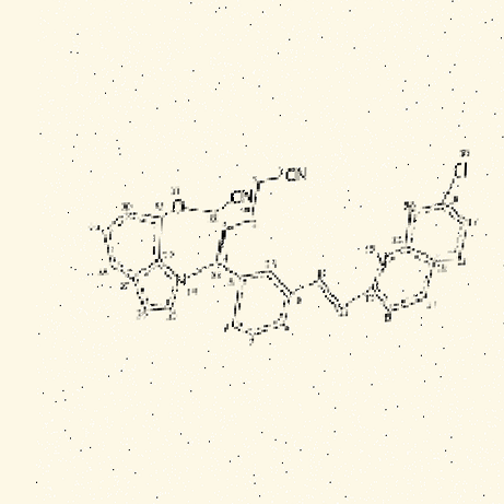 N#CCCC[C@@H](c1cccc(C=Cc2ccc3ccc(Cl)cc3n2)c1)n1ccc2cccc(OCC#N)c21